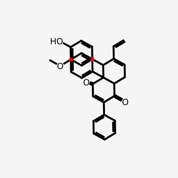 C=CC1=CCC2C(=O)C(c3ccccc3)=CC(=O)C2(c2ccccc2)C1c1ccc(O)c(OC)c1